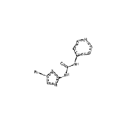 CC(C)c1cnc(NC(=O)Nc2ccncc2)s1